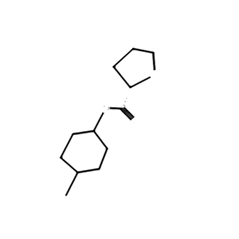 CC1CCC(NC(=O)[C@@H]2CCCO2)CC1